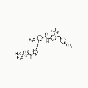 Cc1ccc(C(=O)Nc2ccc(CN3CCN(C)CC3)c(C(F)(F)F)c2)cc1C#Cc1cnc(NC(=O)OC(C)(C)C)s1